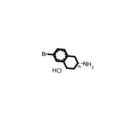 Cl.N[C@@H]1CCc2cc(Br)ccc2C1